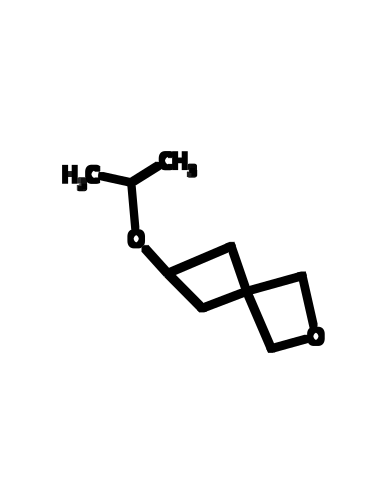 CC(C)OC1CC2(COC2)C1